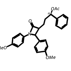 COc1ccc(C2C(CC[C@@H](OC(C)=O)c3ccccc3)C(=O)N2c2ccc(OC)cc2)cc1